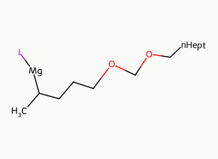 CCCCCCCCOCOCCC[CH](C)[Mg][I]